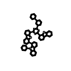 c1ccc(-c2cccc(-c3nc(-c4cccc5c4oc4ccccc45)nc(-c4cccc5c4oc4c(-c6cccc7c8ccccc8n(-c8ccccc8)c67)cccc45)n3)c2)cc1